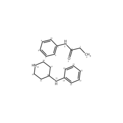 CCC(=O)Nc1ccccc1.c1ccc(NC2CCNCC2)cc1